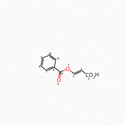 O=C(O)C=COC(=O)c1ccccc1